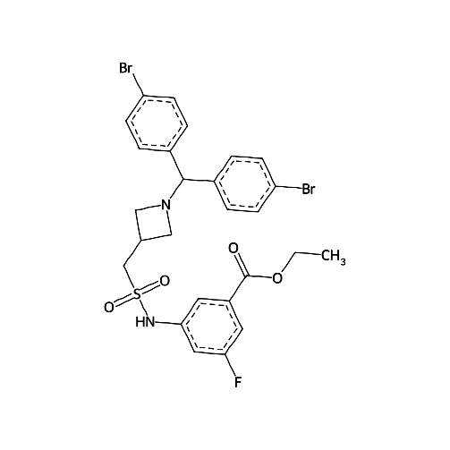 CCOC(=O)c1cc(F)cc(NS(=O)(=O)CC2CN(C(c3ccc(Br)cc3)c3ccc(Br)cc3)C2)c1